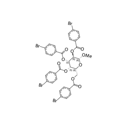 CO[C@@H]1O[C@H](COC(=O)c2ccc(Br)cc2)[C@H](OC(=O)c2ccc(Br)cc2)[C@H](OC(=O)c2ccc(Br)cc2)[C@H]1OC(=O)c1ccc(Br)cc1